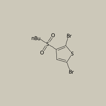 CCCCS(=O)(=O)c1cc(Br)sc1Br